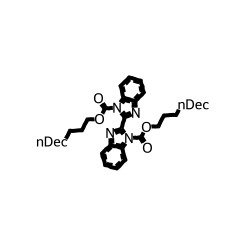 CCCCCCCCCCCCCOC(=O)n1c(-c2nc3ccccc3n2C(=O)OCCCCCCCCCCCCC)nc2ccccc21